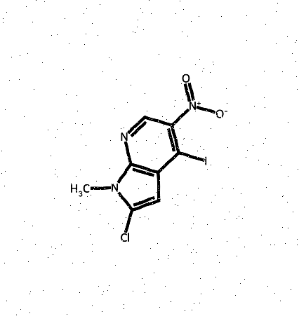 Cn1c(Cl)cc2c(I)c([N+](=O)[O-])cnc21